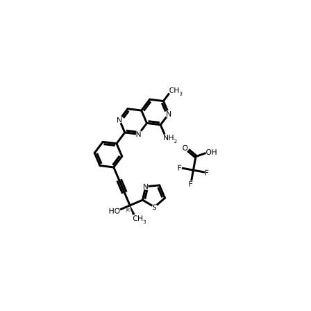 Cc1cc2cnc(-c3cccc(C#C[C@@](C)(O)c4nccs4)c3)nc2c(N)n1.O=C(O)C(F)(F)F